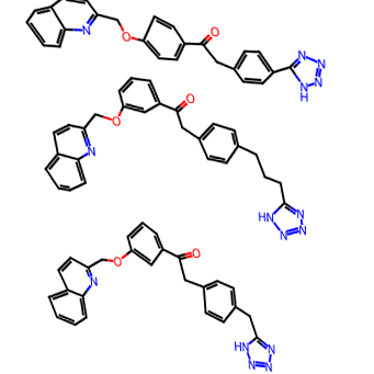 O=C(Cc1ccc(-c2nnn[nH]2)cc1)c1ccc(OCc2ccc3ccccc3n2)cc1.O=C(Cc1ccc(CCCc2nnn[nH]2)cc1)c1cccc(OCc2ccc3ccccc3n2)c1.O=C(Cc1ccc(Cc2nnn[nH]2)cc1)c1cccc(OCc2ccc3ccccc3n2)c1